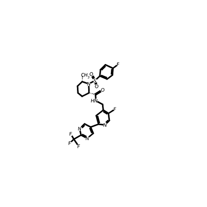 C[C@H]1CCC[C@@H](C(=O)NCc2cc(-c3cnc(C(F)(F)F)nc3)ncc2F)N1S(=O)(=O)c1ccc(F)cc1